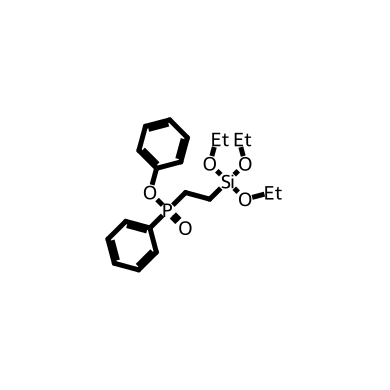 CCO[Si](CCP(=O)(Oc1ccccc1)c1ccccc1)(OCC)OCC